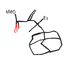 C=C(C(=O)OC)C(C)(CC)C12CC3CC(CC(C3)C1)C2